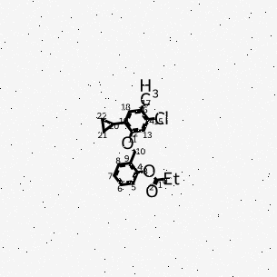 CCC(=O)Oc1ccccc1COc1cc(Cl)c(C)cc1C1CC1